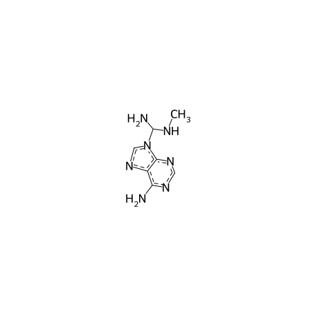 CNC(N)n1cnc2c(N)ncnc21